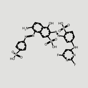 Nc1ccc2c(O)c(/N=N/c3cc(Nc4cc(F)nc(F)n4)ccc3S(=O)(=O)O)c(S(=O)(=O)O)cc2c1/N=N/c1ccc(S(=O)(=O)O)cc1